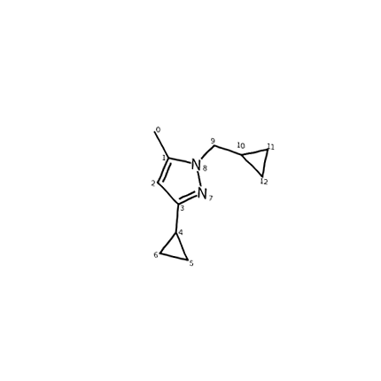 Cc1cc(C2CC2)nn1CC1CC1